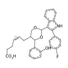 O=C(O)CC/C=C\CC1COC(c2c(-c3ccc(F)cc3)[nH]c3ccccc23)OC1c1ccccc1O